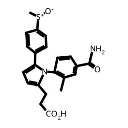 Cc1cc(C(N)=O)ccc1-n1c(CCC(=O)O)ccc1-c1ccc([S+](C)[O-])cc1